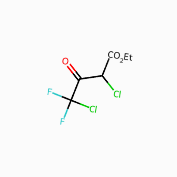 CCOC(=O)C(Cl)C(=O)C(F)(F)Cl